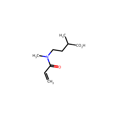 C=CC(=O)N(C)CCC(C)C(=O)O